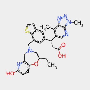 CC[C@@H]1CN(Cc2cc([C@@H](CC(=O)O)c3cnc4c(nnn4C)c3C)cc3ccsc23)Cc2nc(O)ccc2O1